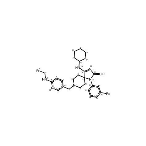 CC(C)CNc1ccc(CN2CCC3(CC2)C(NC2CCCCC2)=NC(=O)N3c2cccc(F)c2)cn1